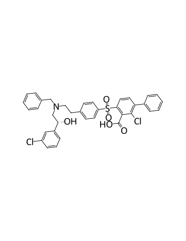 O=C(O)c1c(S(=O)(=O)c2ccc(CCN(Cc3ccccc3)C[C@H](O)c3cccc(Cl)c3)cc2)ccc(-c2ccccc2)c1Cl